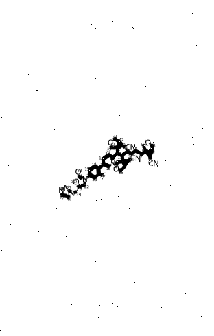 N#CC1C2COCC12CCCCC(C(c1ccc(-c2ccc(N3C[C@H](Cn4ccnn4)OC3=O)cc2F)cn1)C12COCC1C2C#N)C12COCC1C2C#N